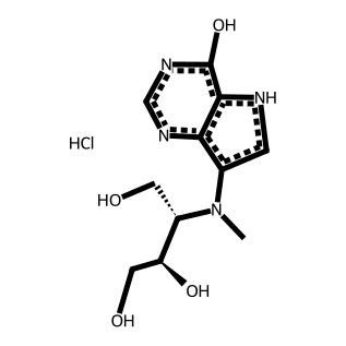 CN(c1c[nH]c2c(O)ncnc12)[C@@H](CO)[C@@H](O)CO.Cl